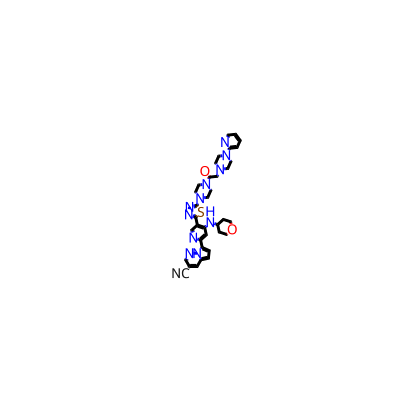 N#Cc1cnn2c(-c3cc(NC4CCOCC4)c(-c4nnc(N5CCN(C(=O)CN6CCN(c7ccccn7)CC6)CC5)s4)cn3)ccc2c1